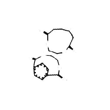 O=C1CCCCC(=O)OCCO1.O=C1OCCOC(=O)c2ccc1cc2